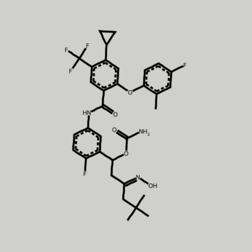 Cc1cc(F)ccc1Oc1cc(C2CC2)c(C(F)(F)F)cc1C(=O)Nc1ccc(F)c(C(CC(CC(C)(C)C)=NO)OC(N)=O)c1